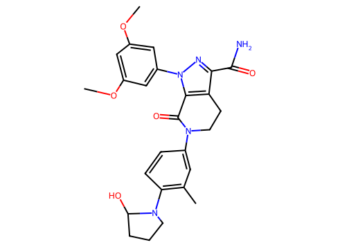 COc1cc(OC)cc(-n2nc(C(N)=O)c3c2C(=O)N(c2ccc(N4CCCC4O)c(C)c2)CC3)c1